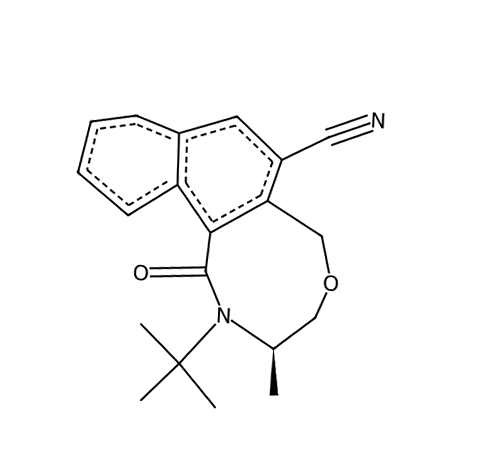 C[C@@H]1COCc2c(C#N)cc3ccccc3c2C(=O)N1C(C)(C)C